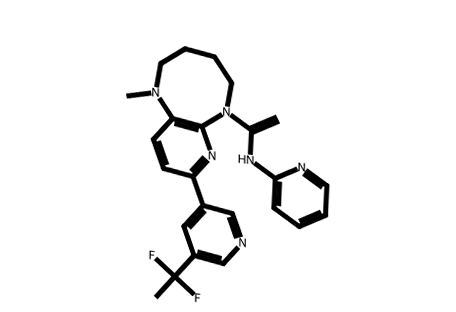 C=C(Nc1ccccn1)N1CCCCN(C)c2ccc(-c3cncc(C(C)(F)F)c3)nc21